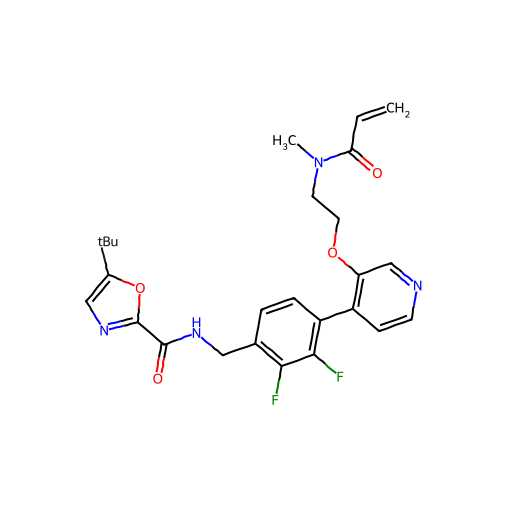 C=CC(=O)N(C)CCOc1cnccc1-c1ccc(CNC(=O)c2ncc(C(C)(C)C)o2)c(F)c1F